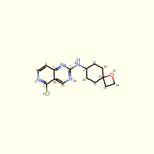 Clc1nccc2nc(NC3CCC4(CCO4)CC3)ncc12